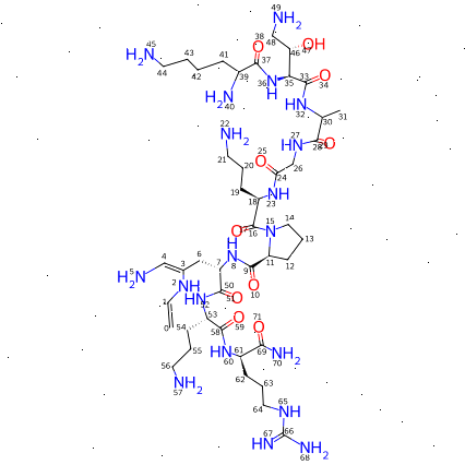 C=CN/C(=C\N)C[C@H](NC(=O)[C@@H]1CCCN1C(=O)[C@@H](CCCN)NC(=O)CNC(=O)C(C)NC(=O)[C@@H](NC(=O)C(N)CCCCN)[C@@H](O)CN)C(=O)N[C@@H](CCCN)C(=O)N[C@H](CCCNC(=N)N)C(N)=O